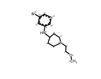 COCCN1CCC(Nc2cncc(Br)c2)CC1